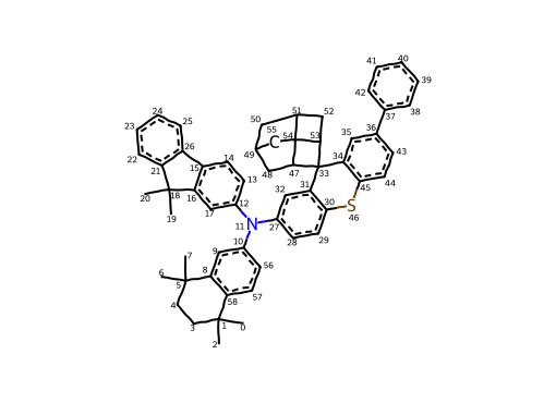 CC1(C)CCC(C)(C)c2cc(N(c3ccc4c(c3)C(C)(C)c3ccccc3-4)c3ccc4c(c3)C3(c5cc(-c6ccccc6)ccc5S4)C4CC5CC6CC3C64C5)ccc21